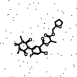 CC(OC(=O)c1cc(-n2c(=O)n(C)c(=S)n(C)c2=O)c(F)cc1Cl)C(=O)OCN1CCCO1